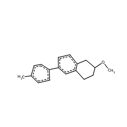 COC1CCc2cc(-c3ccc(C)cc3)ccc2C1